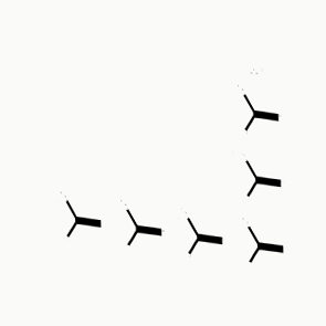 NC(=S)[S-].NC(=S)[S-].NC(=S)[S-].NC(=S)[S-].NC(=S)[S-].NC(=S)[S-].[W+6]